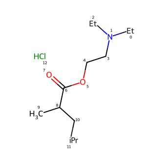 CCN(CC)CCOC(=O)C(C)CC(C)C.Cl